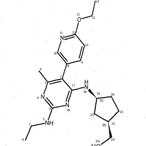 CCNc1nc(C)c(-c2ccc(OCC)nc2)c(N[C@H]2CC[C@@H](CO)C2)n1